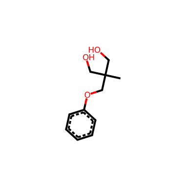 CC(CO)(CO)COc1ccccc1